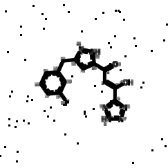 O=C(C=C(O)c1nn[nH]n1)c1cc(Cc2cccc(F)c2)n[nH]1